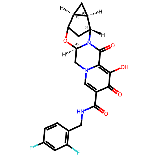 O=C(NCc1ccc(F)cc1F)c1cn2c(c(O)c1=O)C(=O)N1[C@@H]3CC(O[C@@H]1C2)[C@H]1C[C@H]13